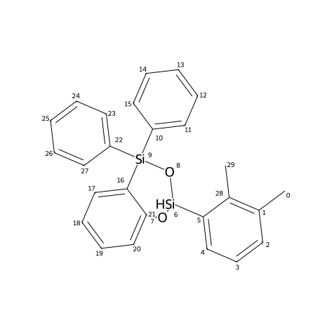 Cc1cccc([SiH]([O])O[Si](c2ccccc2)(c2ccccc2)c2ccccc2)c1C